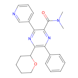 CN(C)C(=O)c1nc(-c2ccccc2)c(C2CCCCO2)nc1-c1cccnc1